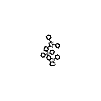 c1ccc(-c2nc(-c3ccccc3)nc(-c3cccc([Si](c4ccccc4)(c4ccccc4)c4ccc5c6cccnc6n(-c6ccccc6)c5c4)c3)n2)cc1